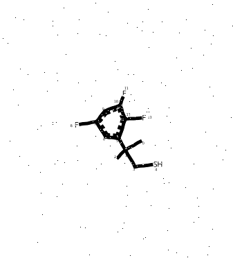 CC(C)(CS)c1cc(F)cc(F)c1F